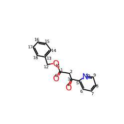 O=C(CC(=O)c1ccccn1)OCc1ccccc1